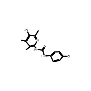 Cc1nc(NC(=S)Nc2ccc(Cl)cc2)c(C)c(C)c1O